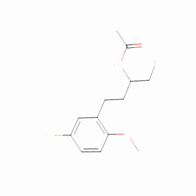 COc1ccc(F)cc1CCC(CBr)OC(C)=O